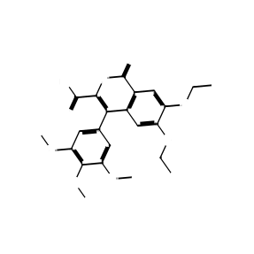 CCOc1cc2c(-c3cc(OC)c(OC)c(OC)c3)c(C(=O)O)oc(=O)c2cc1OCC